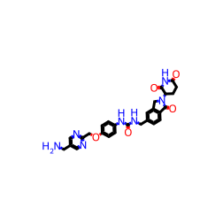 NCc1cnc(COc2ccc(NC(=O)NCc3ccc4c(c3)CN(C3CCC(=O)NC3=O)C4=O)cc2)nc1